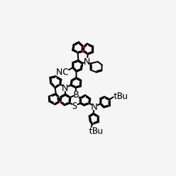 CC(C)(C)c1ccc(N(c2ccc(C(C)(C)C)cc2)c2ccc3c(c2)Sc2cccc4c2B3c2ccc(-c3cc(N(C5=CC=CCC5)c5ccccc5)c(-c5c#cccc5)cc3C#N)cc2N4c2ccccc2-c2ccccc2)cc1